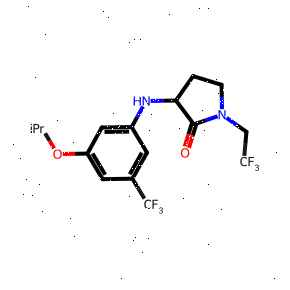 CC(C)Oc1cc(NC2CCN(CC(F)(F)F)C2=O)cc(C(F)(F)F)c1